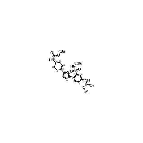 CC(C)OC(=O)Nc1ccc(-c2cnc(C3=CCC(NC(=O)OC(C)(C)C)CC3)s2)c(S(=O)(=O)NC(C)(C)C)c1